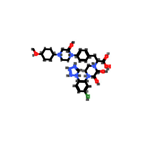 COC1CCC(N2CCN(c3ccc(CC(C(=O)O)N4CCN(c5cc(Cl)ccc5-n5cnnn5)C(=O)C4=O)cc3)C(=O)C2)CC1